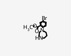 COC(=O)c1cc(Br)ccc1N1CCCNCC1